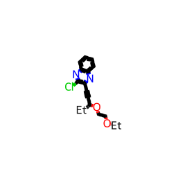 CCOCCOC(C#Cc1nc2ccccc2nc1Cl)CC